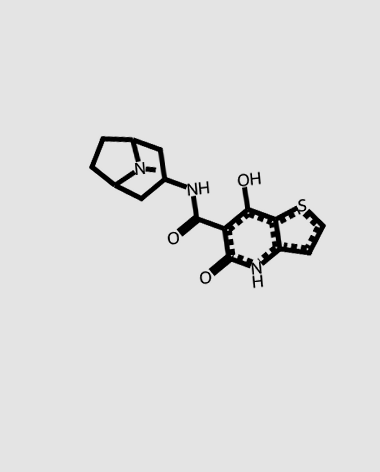 CN1C2CCC1CC(NC(=O)c1c(O)c3sccc3[nH]c1=O)C2